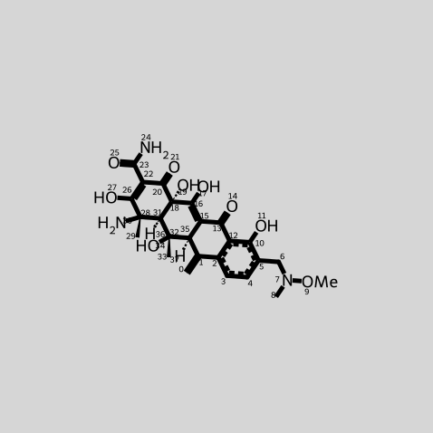 C=C1c2ccc(CN(C)OC)c(O)c2C(=O)C2=C(O)[C@]3(O)C(=O)C(C(N)=O)=C(O)[C@@](C)(N)[C@@H]3[C@@](C)(O)[C@H]12